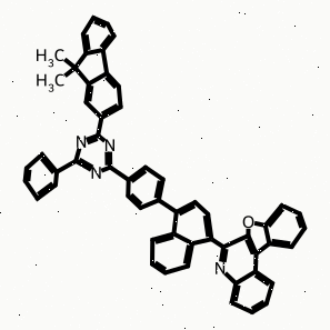 CC1(C)c2ccccc2-c2ccc(-c3nc(-c4ccccc4)nc(-c4ccc(-c5ccc(-c6nc7ccccc7c7c6oc6ccccc67)c6ccccc56)cc4)n3)cc21